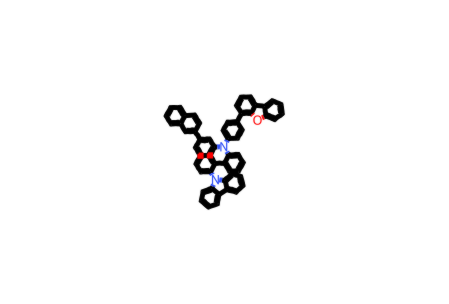 c1cc(-c2ccc3ccccc3c2)cc(N(c2ccc(-c3cccc4c3oc3ccccc34)cc2)c2ccccc2-c2ccccc2-n2c3ccccc3c3ccccc32)c1